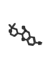 CC1(C)CC(C2Oc3ccc(Br)cc3CC2=O)CCO1